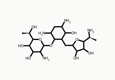 C[C@H](N)C1OC(CC2C(O)C(N)CC(N)C2OC2OC([C@@H](C)O)C(O)C(O)C2N)C(O)C1O